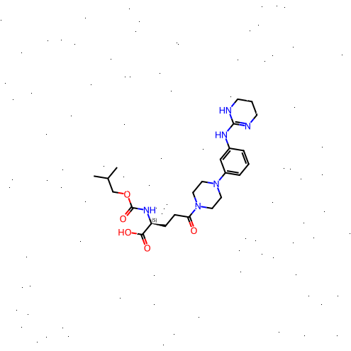 CC(C)COC(=O)N[C@@H](CCC(=O)N1CCN(c2cccc(NC3=NCCCN3)c2)CC1)C(=O)O